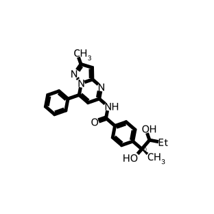 CCC(O)[C@](C)(O)c1ccc(C(=O)Nc2cc(-c3ccccc3)n3nc(C)cc3n2)cc1